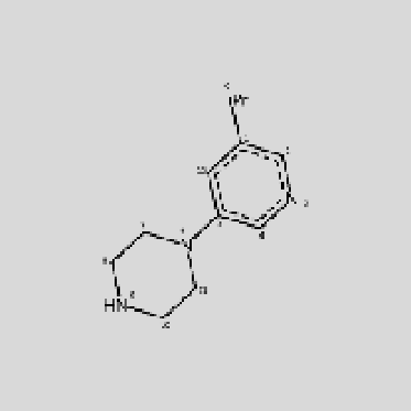 CC(C)c1cncc(N2CCNCC2)c1